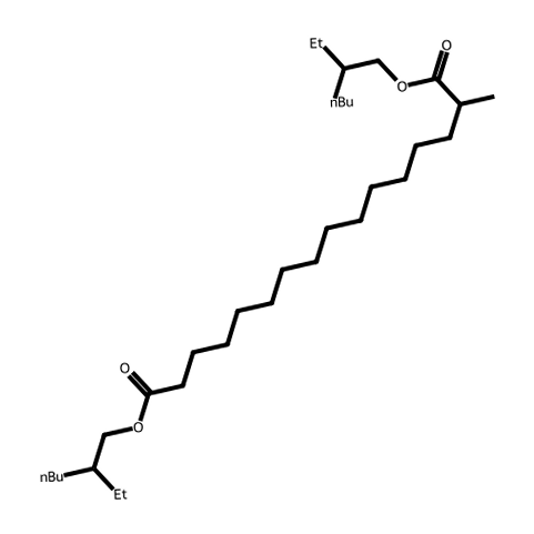 CCCCC(CC)COC(=O)CCCCCCCCCCCCCC(C)C(=O)OCC(CC)CCCC